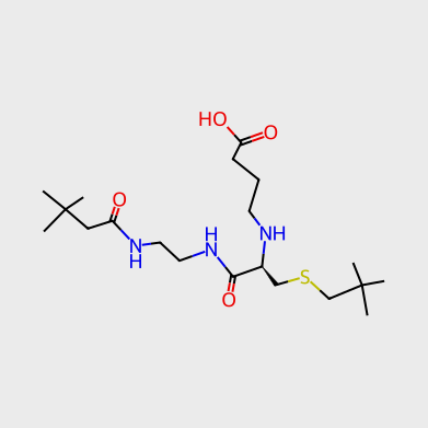 CC(C)(C)CSC[C@H](NCCCC(=O)O)C(=O)NCCNC(=O)CC(C)(C)C